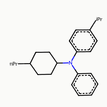 CCCC1CCC(N(c2ccccc2)c2ccc(C(C)C)cc2)CC1